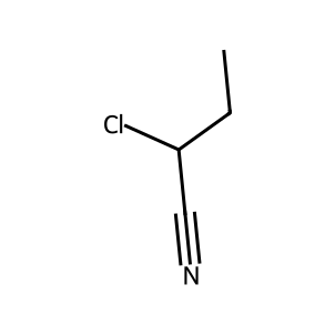 CCC(Cl)C#N